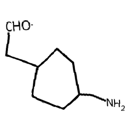 NC1CCC(C[C]=O)CC1